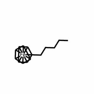 CCCCC[C]12[CH]3[CH]4[CH]5[CH]1[Fe]45321678[CH]2[CH]1[CH]6[CH]7[CH]28